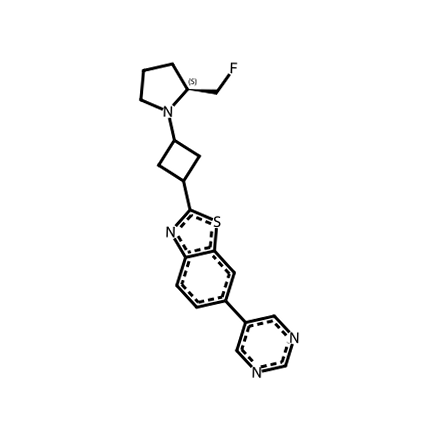 FC[C@@H]1CCCN1C1CC(c2nc3ccc(-c4cncnc4)cc3s2)C1